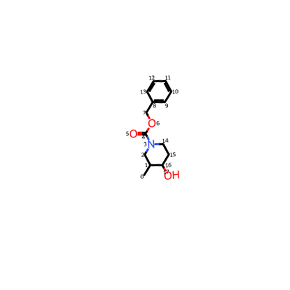 CC1CN(C(=O)OCc2ccccc2)CCC1O